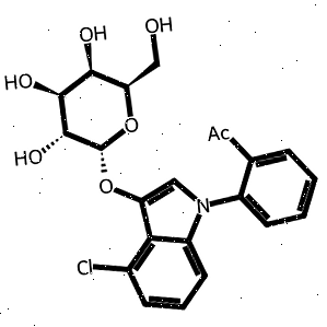 CC(=O)c1ccccc1-n1cc(O[C@H]2O[C@H](CO)[C@H](O)[C@H](O)[C@H]2O)c2c(Cl)cccc21